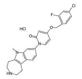 Cl.Cn1c2c(c3ccc(-n4ccc(OCc5ccc(Cl)cc5F)cc4=O)cc31)CCNCC2